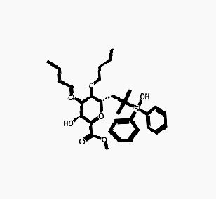 CCCCOC1C(OCCCC)[C@H](CC(C)(C)[Si](O)(c2ccccc2)c2ccccc2)OC(C(=O)OC)[C@H]1O